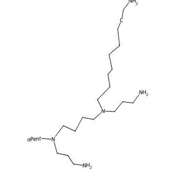 CCCCCN(CCCN)CCCCN(CCCN)CCCCCCCCCN